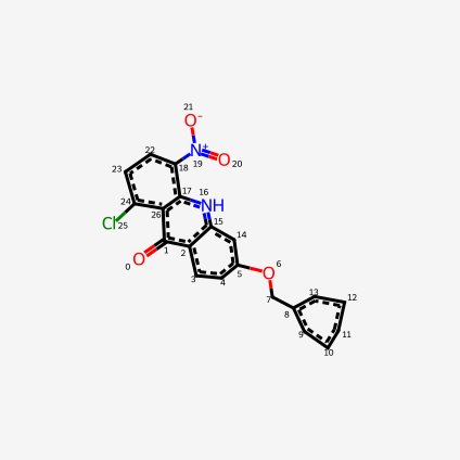 O=c1c2ccc(OCc3ccccc3)cc2[nH]c2c([N+](=O)[O-])ccc(Cl)c12